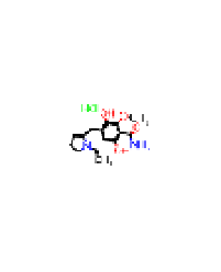 CCN1CCCC1Cc1cc(O)c(C(N)=O)c(OC)c1O.Cl